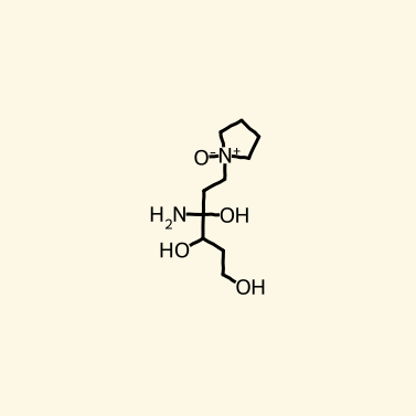 NC(O)(CC[N+]1([O-])CCCC1)C(O)CCO